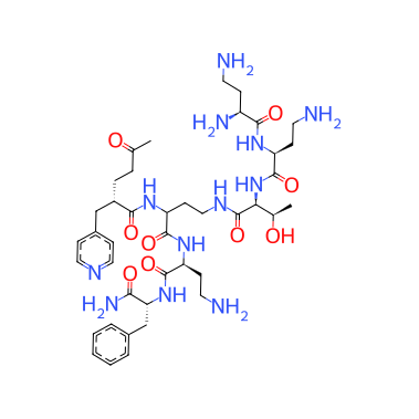 CC(=O)CC[C@@H](Cc1ccncc1)C(=O)NC(CCNC(=O)[C@@H](NC(=O)[C@H](CCN)NC(=O)[C@@H](N)CCN)[C@@H](C)O)C(=O)N[C@@H](CCN)C(=O)N[C@H](Cc1ccccc1)C(N)=O